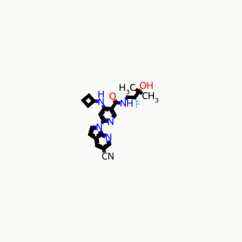 CC(C)(O)[C@H](F)CNC(=O)c1cnc(-n2ccc3cc(C#N)cnc32)cc1NC1CCC1